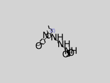 C=C/C=C\c1c(NCCCNCCCNS(C)(=O)=O)cc(-c2ccc(OC)cc2)nc1C